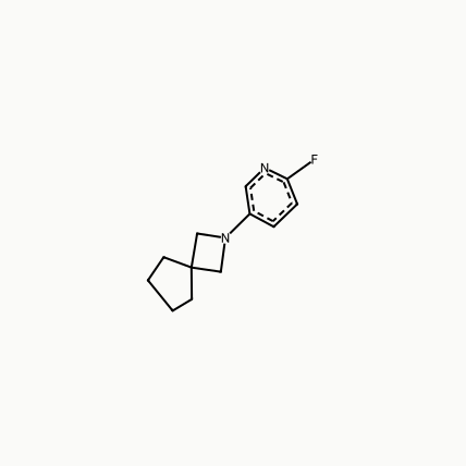 Fc1ccc(N2CC3(CCCC3)C2)cn1